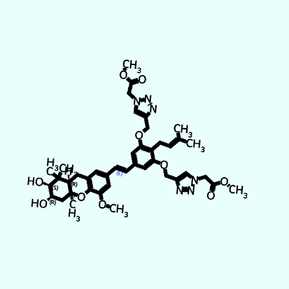 COC(=O)Cn1cc(COc2cc(/C=C/c3cc4c(c(OC)c3)O[C@]3(C)C[C@@H](O)[C@@H](O)C(C)(C)[C@H]3C4)cc(OCc3cn(CC(=O)OC)nn3)c2CC=C(C)C)nn1